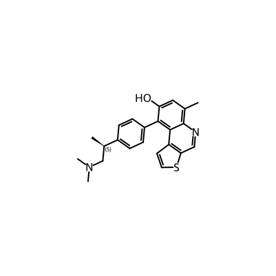 Cc1cc(O)c(-c2ccc([C@H](C)CN(C)C)cc2)c2c1ncc1sccc12